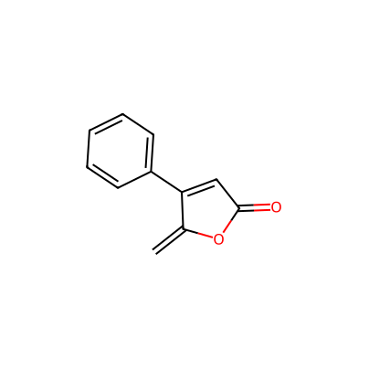 C=C1OC(=O)C=C1c1ccccc1